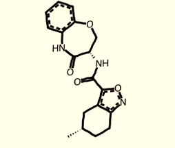 C[C@H]1CCc2noc(C(=O)N[C@H]3COc4ccccc4NC3=O)c2C1